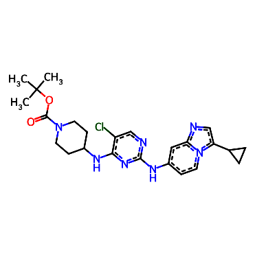 CC(C)(C)OC(=O)N1CCC(Nc2nc(Nc3ccn4c(C5CC5)cnc4c3)ncc2Cl)CC1